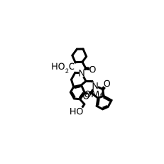 COc1c(CO)ccc2c1C(CN1C(=O)c3ccccc3C1=O)N(C(=O)C1CCCCC1C(=O)O)CC2